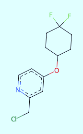 FC1(F)CCC(Oc2ccnc(CCl)c2)CC1